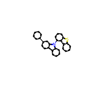 c1ccc(-c2ccc3c4ccccc4n(-c4cccc5sc6ccccc6c45)c3c2)cc1